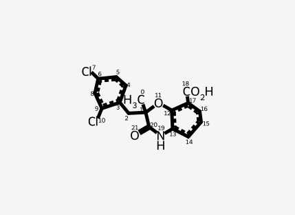 CC1(Cc2ccc(Cl)cc2Cl)Oc2c(cccc2C(=O)O)NC1=O